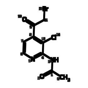 CC(=O)Nc1nccc(C(=O)CBr)c1Cl